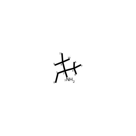 CCC(N)(C(C)(C)C)C(C)(C)C